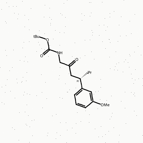 COc1cccc([C@H](CC(=O)CNC(=O)OC(C)(C)C)C(C)C)c1